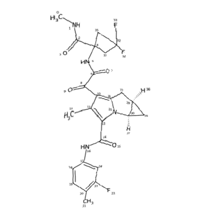 CNC(=O)C1(NC(=O)C(=O)c2c(C)c(C(=O)Nc3ccc(C)c(F)c3)n3c2C[C@H]2C[C@H]23)CC(F)(F)C1